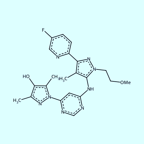 COCCn1nc(-c2ccc(F)cn2)c(C)c1Nc1cc(-n2nc(C)c(O)c2C)ncn1